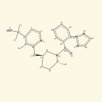 Cc1c(C(C)(C)O)ccnc1O[C@@H]1CC[C@@H](C)N(C(=O)c2ccccc2-n2nccn2)C1